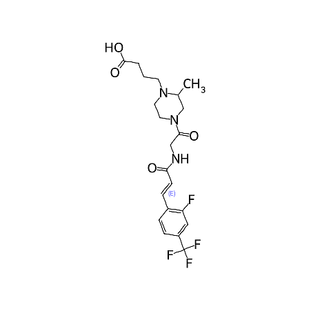 CC1CN(C(=O)CNC(=O)/C=C/c2ccc(C(F)(F)F)cc2F)CCN1CCCC(=O)O